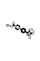 Cn1c(-c2ccc(N3CCN(C(=O)OC(C)(C)C)CC3)cc2)n[nH]c1=O